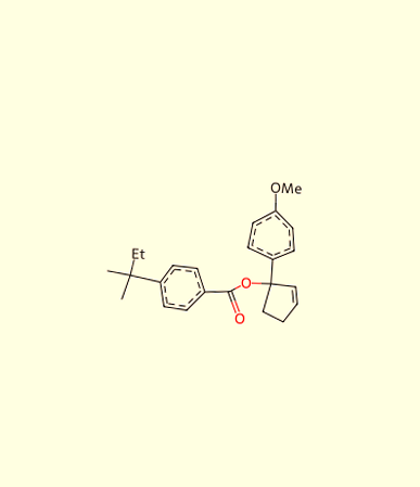 CCC(C)(C)c1ccc(C(=O)OC2(c3ccc(OC)cc3)C=CCC2)cc1